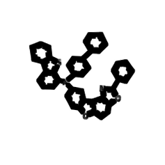 c1ccc(-c2ccc(N(c3ccc4oc5ccc6oc(-c7ccccc7)nc6c5c4c3)c3cccc4c3sc3ccccc34)cc2)cc1